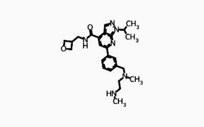 CNCCN(C)Cc1cccc(-c2cc(C(=O)NCC3COC3)c3cnn(C(C)C)c3n2)c1